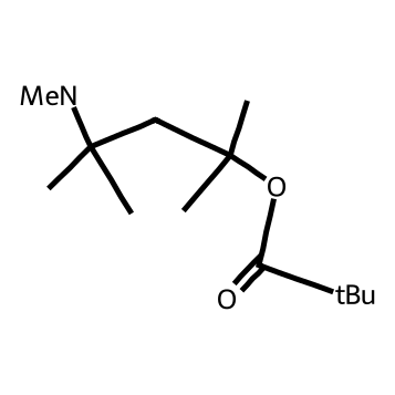 CNC(C)(C)CC(C)(C)OC(=O)C(C)(C)C